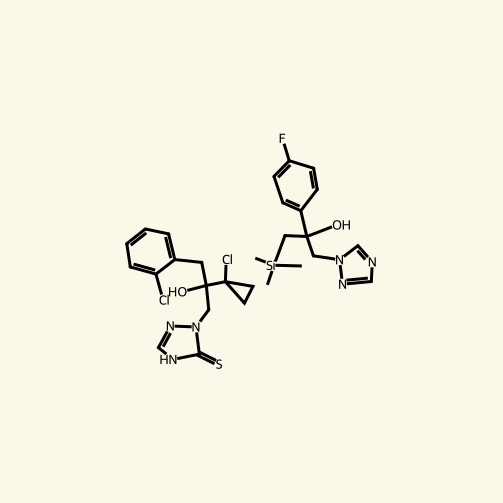 C[Si](C)(C)CC(O)(Cn1cncn1)c1ccc(F)cc1.OC(Cc1ccccc1Cl)(Cn1nc[nH]c1=S)C1(Cl)CC1